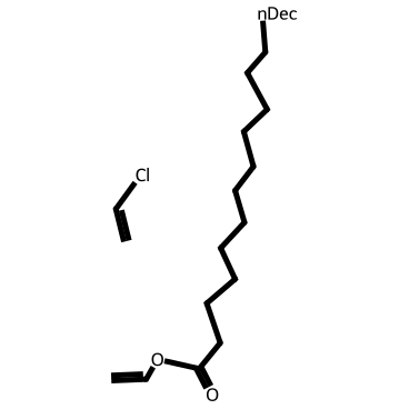 C=CCl.C=COC(=O)CCCCCCCCCCCCCCCCCCCCC